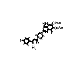 COc1cc2c(N)nc(N3CCN(C(=O)C[C@@H](N)c4ccc(F)cc4F)CC3)nc2c(F)c1OC